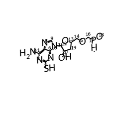 Nc1nc(S)nc2c1ncn2C1OC(COC[PH]=O)CC1O